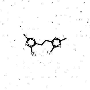 Cc1nc(C(F)(F)F)c([CH]Cc2sc(C)nc2C(F)(F)F)s1